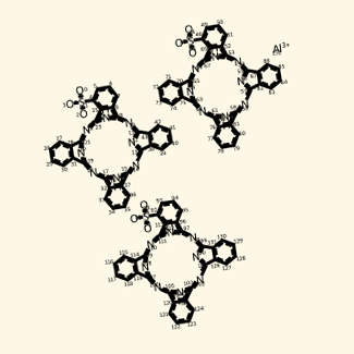 O=S(=O)([O-])c1cccc2c3nc4nc(nc5[nH]c(nc6nc(nc([nH]3)c12)-c1ccccc1-6)c1ccccc51)-c1ccccc1-4.O=S(=O)([O-])c1cccc2c3nc4nc(nc5[nH]c(nc6nc(nc([nH]3)c12)-c1ccccc1-6)c1ccccc51)-c1ccccc1-4.O=S(=O)([O-])c1cccc2c3nc4nc(nc5[nH]c(nc6nc(nc([nH]3)c12)-c1ccccc1-6)c1ccccc51)-c1ccccc1-4.[Al+3]